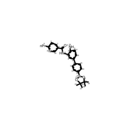 CCCc1ccc(C(=O)Nc2cc(-c3ccc(B4OC(C)(C)C(C)(C)O4)cc3)ccc2N)cn1